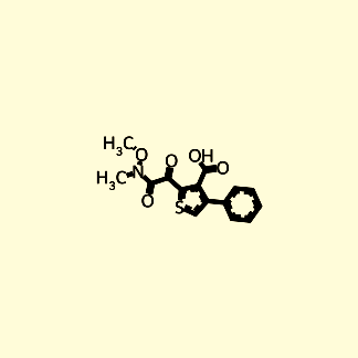 CON(C)C(=O)C(=O)c1scc(-c2ccccc2)c1C(=O)O